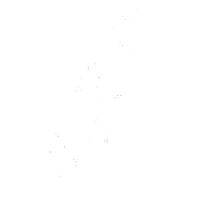 CNC(=O)COc1cc2cc(Nc3nc(N4CCC(O[C@H]5C[C@H](N6CCN(c7ccc8c(c7Cl)CN(C7CCC(=O)NC7=O)C8=O)[C@H](C)C6)C5)CC4)ncc3Cl)ccc2n(C(C)C)c1=O